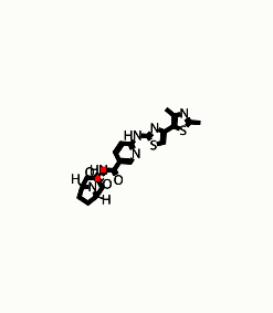 Cc1nc(C)c(-c2csc(Nc3ccc(C(=O)N[C@H]4C[C@H]5CC[C@@H](C4)N5S(C)(=O)=O)cn3)n2)s1